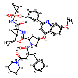 C=CC1CC1(NC(=O)C1C[C@@H](Oc2cc(-c3ccccc3)nc3cc(OC)ccc23)CN1C(=O)C(CC(=O)N1CCCCC1)Cc1ccccc1)C(=O)NS(=O)(=O)C1CC1